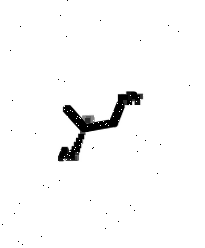 CCCC[C@@H](C)C(C)=O